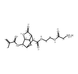 C=C(C)C(=O)OC1C2CC3C1OC(=O)C3C2C(=O)OCCOC(=O)CS(=O)(=O)O